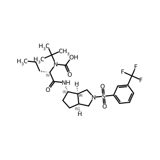 CCC[C@@H](C(=O)N[C@H]1CC[C@@H]2CN(S(=O)(=O)c3cccc(C(F)(F)F)c3)C[C@@H]21)N(C(=O)O)C(C)(C)C